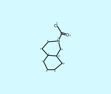 O=C(Cl)N1CCC2CCCCC2C1